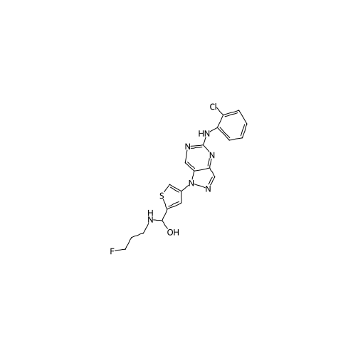 OC(NCCCF)c1cc(-n2ncc3nc(Nc4ccccc4Cl)ncc32)cs1